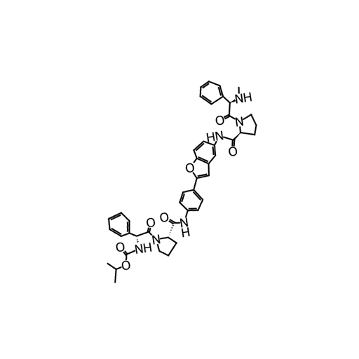 CN[C@@H](C(=O)N1CCC[C@H]1C(=O)Nc1ccc2oc(-c3ccc(NC(=O)[C@@H]4CCCN4C(=O)[C@H](NC(=O)OC(C)C)c4ccccc4)cc3)cc2c1)c1ccccc1